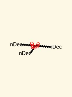 CCCCCCCCCCCCCCCCCCCCCC(=O)OC[C@H](COC(=O)CCCCCCCCCCCCCCCCCCC)OC(=O)CCCCCCCCCCCCCCC